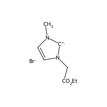 CCOC(=O)CN1[C+]N(C)C=C1.[Br-]